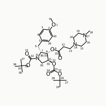 COc1ccc(C[C@@H]2[C@H](OC(=O)CCN3CCN(C)CC3)[C@@H](OC(=O)OC(C)(C)C)CN2C(=O)OC(C)(C)C)cc1